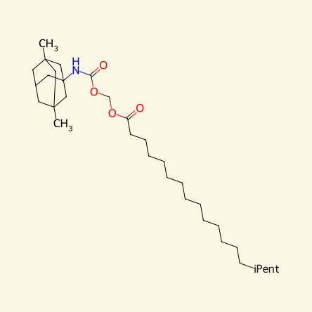 CCCC(C)CCCCCCCCCCCCCC(=O)OCOC(=O)NC12CC3CC(C)(CC(C)(C3)C1)C2